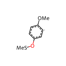 COc1[c]cc(OSC)cc1